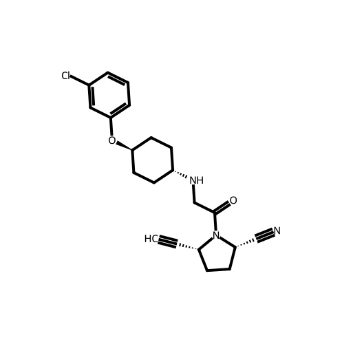 C#C[C@H]1CC[C@@H](C#N)N1C(=O)CN[C@H]1CC[C@H](Oc2cccc(Cl)c2)CC1